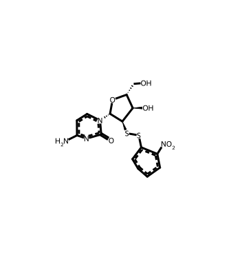 Nc1ccn([C@@H]2O[C@H](CO)[C@@H](O)[C@H]2SSc2ccccc2[N+](=O)[O-])c(=O)n1